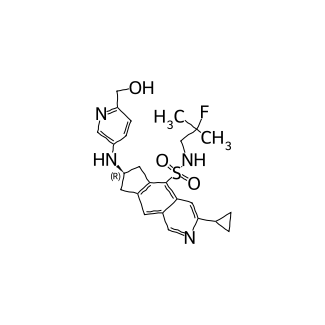 CC(C)(F)CNS(=O)(=O)c1c2c(cc3cnc(C4CC4)cc13)C[C@@H](Nc1ccc(CO)nc1)C2